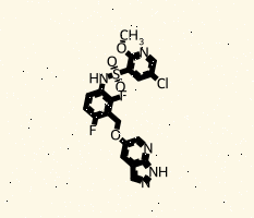 COc1ncc(Cl)cc1S(=O)(=O)Nc1ccc(F)c(COc2cnc3[nH]ncc3c2)c1F